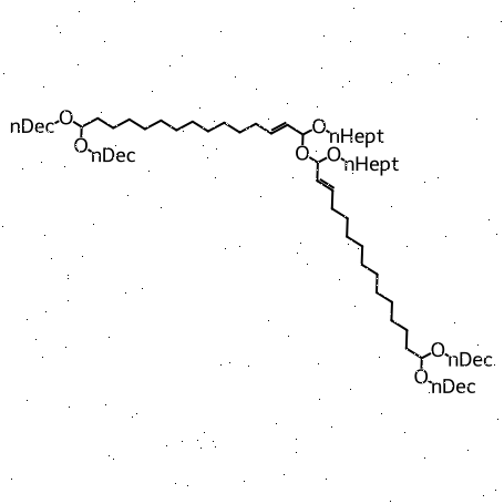 CCCCCCCCCCOC(CCCCCCCCCCCC=CC(OCCCCCCC)OC(C=CCCCCCCCCCCCC(OCCCCCCCCCC)OCCCCCCCCCC)OCCCCCCC)OCCCCCCCCCC